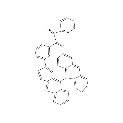 O=C(C(=O)c1cccc(-c2ccc3cc4ccccc4c(-c4c5ccccc5cc5ccccc45)c3c2)c1)c1ccccc1